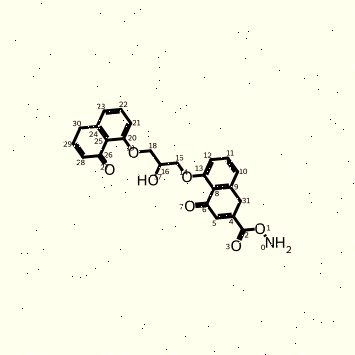 NOC(=O)C1=CC(=O)c2c(cccc2OCC(O)COc2cccc3c2C(=O)C=CC3)C1